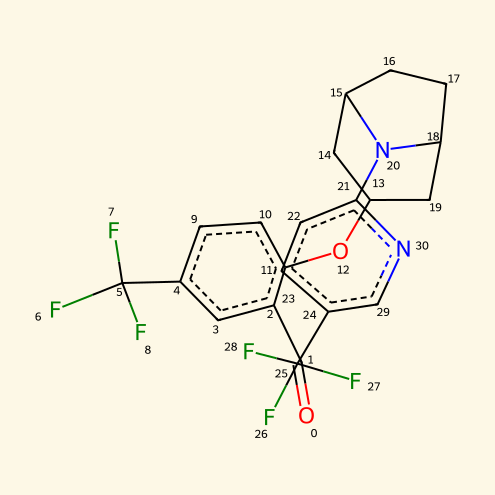 O=Cc1cc(C(F)(F)F)ccc1OC1CC2CCC(C1)N2c1ccc(C(F)(F)F)cn1